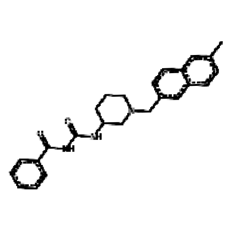 Cc1ccc2cc(CN3CCCC(NC(=O)NC(=O)c4ccccc4)C3)ccc2c1